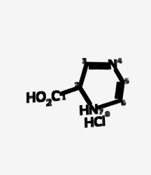 Cl.O=C(O)C1C=NC=CN1